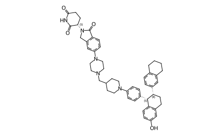 O=C1CC[C@H](N2Cc3cc(N4CCN(CC5CCN(c6ccc([C@H]7c8ccc(O)cc8CC[C@H]7c7ccc8c(c7)CCCC8)cc6)CC5)CC4)ccc3C2=O)C(=O)N1